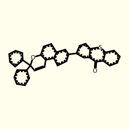 O=c1c2ccccc2sc2ccc(-c3ccc4c5c(ccc4c3)OC(c3ccccc3)(c3ccccc3)C=C5)cc12